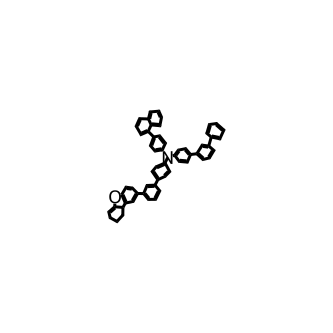 C1=C2Oc3ccc(-c4cccc(-c5ccc(N(c6ccc(-c7cccc(-c8ccccc8)c7)cc6)c6ccc(-c7cccc8ccccc78)cc6)cc5)c4)cc3C2CCC1